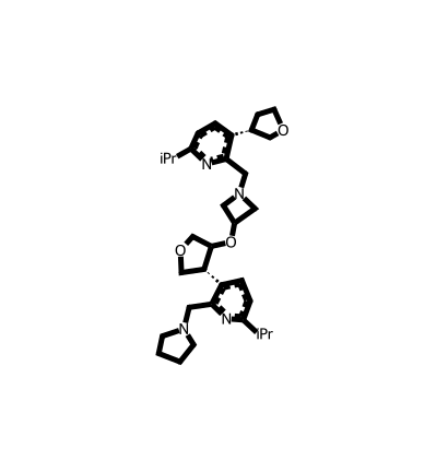 CC(C)c1ccc([C@@H]2CCOC2)c(CN2CC(OC3COC[C@H]3c3ccc(C(C)C)nc3CN3CCCC3)C2)n1